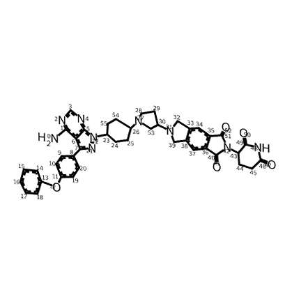 Nc1ncnc2c1c(-c1ccc(Oc3ccccc3)cc1)nn2C1CCC(N2CCC(N3Cc4cc5c(cc4C3)C(=O)N(C3CCC(=O)NC3=O)C5=O)C2)CC1